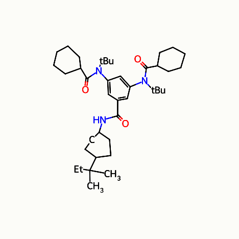 CCC(C)(C)C1CCC(NC(=O)c2cc(N(C(=O)C3CCCCC3)C(C)(C)C)cc(N(C(=O)C3CCCCC3)C(C)(C)C)c2)CC1